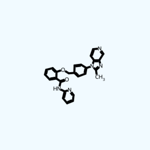 Cc1nc2cnccc2n1-c1ccc(COc2ccccc2C(=O)Nc2ccccn2)cc1